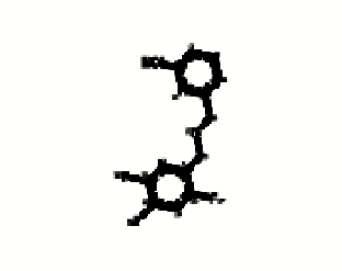 N#Cc1cccc(COCc2cc(F)c(F)cc2F)n1